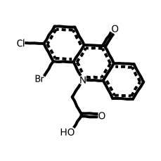 O=C(O)Cn1c2ccccc2c(=O)c2ccc(Cl)c(Br)c21